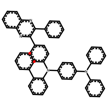 c1ccc(-c2ccccc2N(c2ccc(-c3nc4ccccc4nc3-c3ccccc3)cc2)c2ccc(N(c3ccccc3)c3ccccc3)cc2)cc1